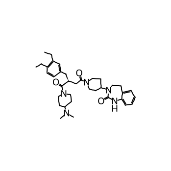 CCc1ccc(C[C@@H](CC(=O)N2CCC(N3CCc4ccccc4NC3=O)CC2)C(=O)N2CCC(N(C)C)CC2)cc1CC